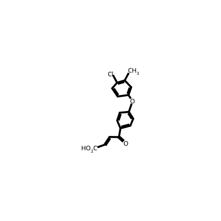 Cc1cc(Oc2ccc(C(=O)/C=C/C(=O)O)cc2)ccc1Cl